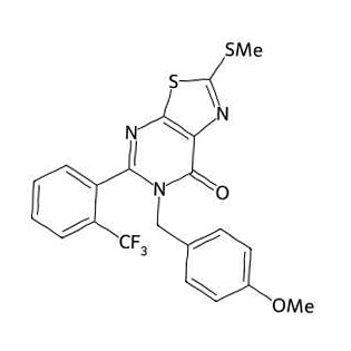 COc1ccc(Cn2c(-c3ccccc3C(F)(F)F)nc3sc(SC)nc3c2=O)cc1